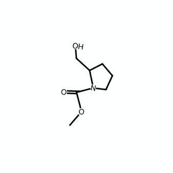 COC(=O)N1CCCC1CO